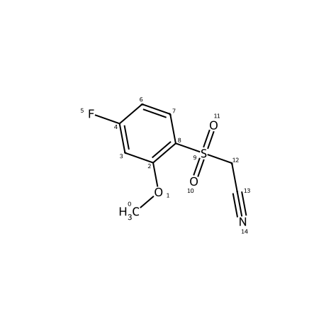 COc1cc(F)ccc1S(=O)(=O)CC#N